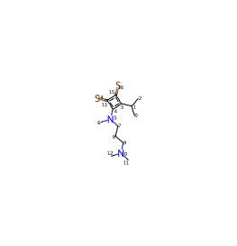 CC(C)c1c(N(C)CCCN(C)C)c(=S)c1=S